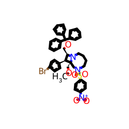 COC[C@@]12CN(S(=O)(=O)c3ccc([N+](=O)[O-])cc3)CCCCN1[C@H](COC(c1ccccc1)(c1ccccc1)c1ccccc1)[C@@H]2c1ccc(Br)cc1